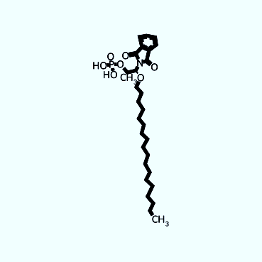 CCCCCCCCCCCCCCCCCCO[C@H](C(C)OP(=O)(O)O)N1C(=O)c2ccccc2C1=O